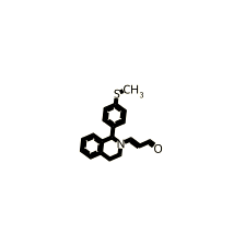 CSc1ccc(C2c3ccccc3CCN2C=CC=O)cc1